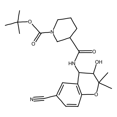 CC(C)(C)OC(=O)N1CCCC(C(=O)NC2c3cc(C#N)ccc3OC(C)(C)C2O)C1